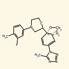 [CH2][C@@H]1C=C(n2nnnc2C)C=C[C@@]1(OC)C1CCCN(c2ccc(C)c(F)c2)C1